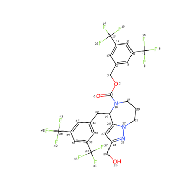 O=C(OCc1cc(C(F)(F)F)cc(C(F)(F)F)c1)N1CCCn2nc(CO)cc2C1Cc1cc(C(F)(F)F)cc(C(F)(F)F)c1